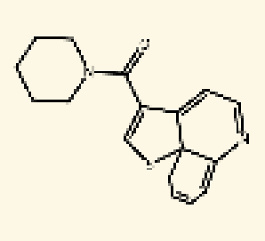 O=C(C1=CSC23CC=CC=C2N=CC=C13)N1CCCCC1